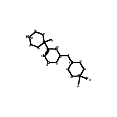 CC1(C2=NOCC(CN3CCC(F)(F)CC3)O2)CCNCC1